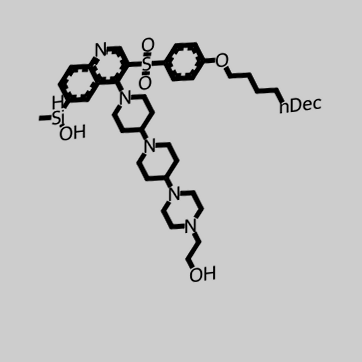 CCCCCCCCCCCCCCOc1ccc(S(=O)(=O)c2cnc3ccc([SiH](C)O)cc3c2N2CCC(N3CCC(N4CCN(CCO)CC4)CC3)CC2)cc1